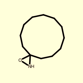 C1CCCCCC2(CCCCC1)NO2